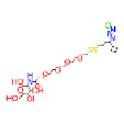 O=C(CCOCCOCCOCCOCCSSCCC/C(=N\N=N\Cl)C1CCC1)NC1C(O)OC(CO)C(O)C1O